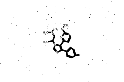 COc1nccc(-c2c(-c3ccc(F)cc3)ncn2C(C)CN(C)C)n1